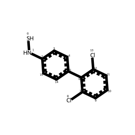 SNc1ccc(-c2c(Cl)cccc2Cl)cc1